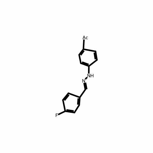 CC(=O)c1ccc(N/N=C/c2ccc(F)cc2)cc1